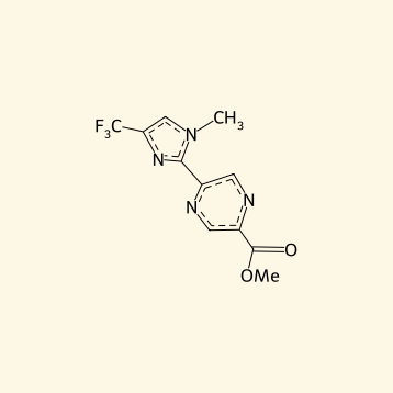 COC(=O)c1cnc(-c2nc(C(F)(F)F)cn2C)cn1